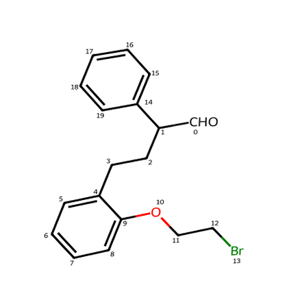 O=CC(CCc1ccccc1OCCBr)c1ccccc1